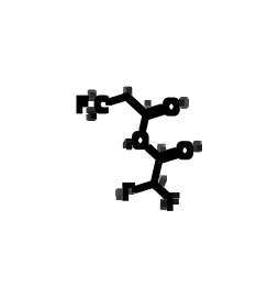 O=C(CC(F)(F)F)OC(=O)C(F)F